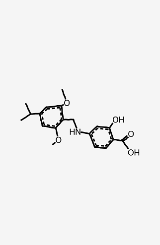 COc1cc(C(C)C)cc(OC)c1CNc1ccc(C(=O)O)c(O)c1